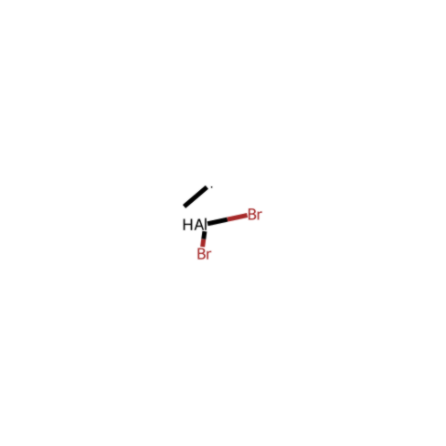 [Br][AlH][Br].[CH2]C